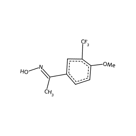 COc1ccc(/C(C)=N/O)cc1C(F)(F)F